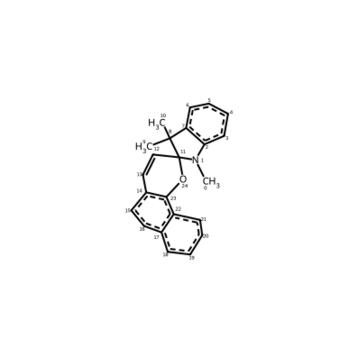 CN1c2ccccc2C(C)(C)C12C=Cc1ccc3ccccc3c1O2